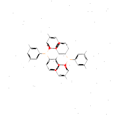 COC1=CCC[C@@H](P(c2cc(C)cc(C)c2)c2cc(C)cc(C)c2)[C@H]1c1c(OC)cccc1P(c1cc(C)cc(C)c1)c1cc(C)cc(C)c1